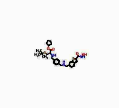 CC(C)(C)SC[C@H](NCc1ccc(CNCc2ccc3cc(C(=O)NO)sc3c2)cc1)C(=O)OC1CCCC1